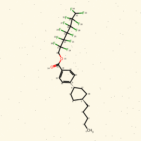 CCCCC[C@H]1CC[C@H](c2ccc(C(=O)OCC(F)(F)C(F)(F)C(F)(F)C(F)(F)C(F)(F)C(F)F)cc2)CC1